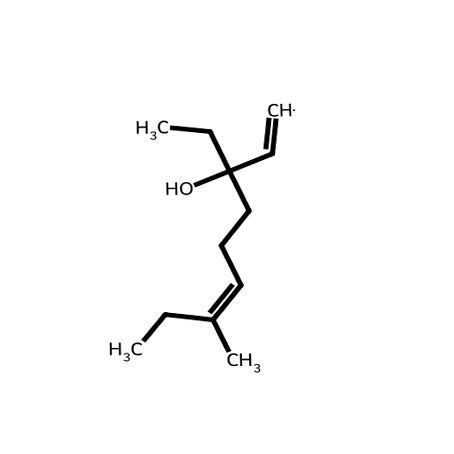 [CH]=CC(O)(CC)CCC=C(C)CC